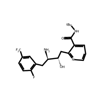 CC(C)(C)NC(=O)c1cccnc1C[C@H](O)[C@H](N)Cc1cc(C(F)(F)F)ccc1F